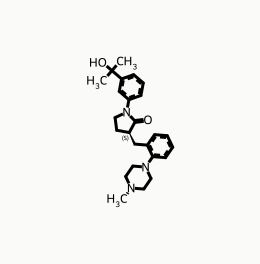 CN1CCN(c2ccccc2C[C@H]2CCN(c3cccc(C(C)(C)O)c3)C2=O)CC1